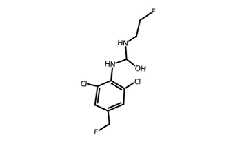 OC(NCCF)Nc1c(Cl)cc(CF)cc1Cl